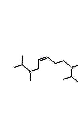 CC(C)N(C)C/C=C\CCN(C)C(C)C